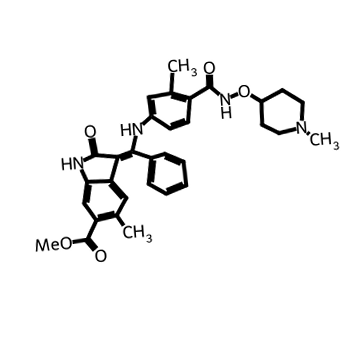 COC(=O)c1cc2c(cc1C)/C(=C(/Nc1ccc(C(=O)NOC3CCN(C)CC3)c(C)c1)c1ccccc1)C(=O)N2